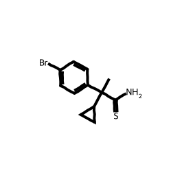 CC(C(N)=S)(c1ccc(Br)cc1)C1CC1